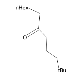 CCCCCCCC(=O)CCCC(C)(C)C